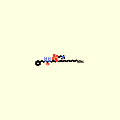 CCCCCCCCCCCCCCCCCCCCOCC(CNC(=O)NCCc1ccccc1)OP(=O)([O-])OCC[N+](C)(C)C